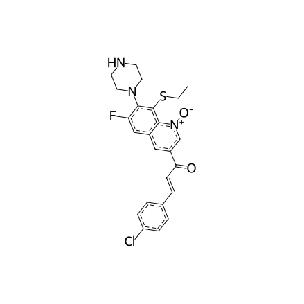 CCSc1c(N2CCNCC2)c(F)cc2cc(C(=O)C=Cc3ccc(Cl)cc3)c[n+]([O-])c12